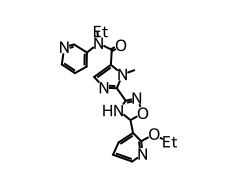 CCOc1ncccc1C1NC(c2ncc(C(=O)N(CC)c3cccnc3)n2C)=NO1